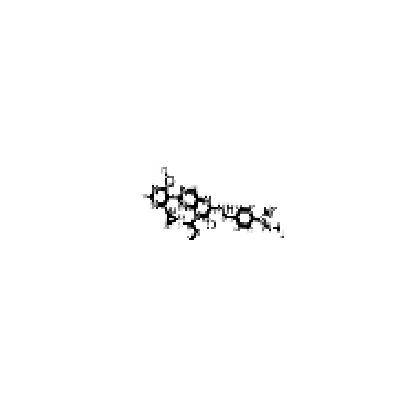 CC[C@@H](C)n1c(=O)c(NCc2ccc([S+](N)[O-])cc2)nc2cnc(-c3c(OC)ncnc3C3CC3)nc21